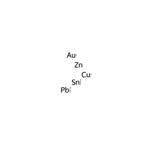 [Au].[Cu].[Pb].[Sn].[Zn]